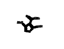 COC(=O)c1c(OC)csc1NC(C)=O